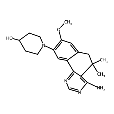 COc1cc2c(cc1N1CCC(O)CC1)-c1ncnc(N)c1C(C)(C)C2